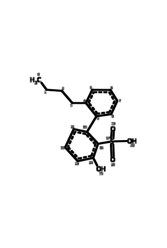 CCCCc1ccccc1-c1cccc(O)c1S(=O)(=O)O